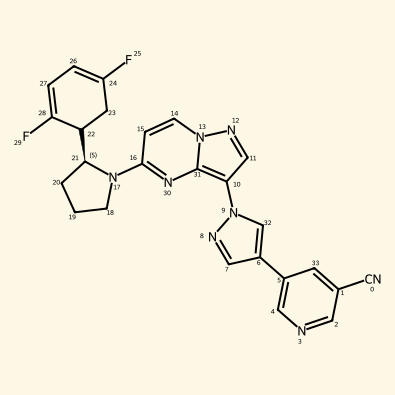 N#Cc1cncc(-c2cnn(-c3cnn4ccc(N5CCC[C@H]5C5CC(F)=CC=C5F)nc34)c2)c1